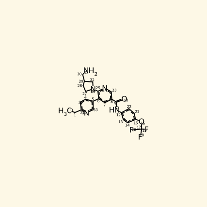 CCc1ccc(-c2cc(C(=O)Nc3ccc(OC(F)(F)F)cc3)cnc2N2CCC(CN)C2)cn1